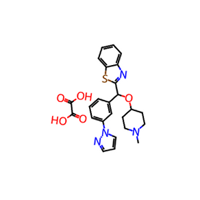 CN1CCC(OC(c2cccc(-n3cccn3)c2)c2nc3ccccc3s2)CC1.O=C(O)C(=O)O